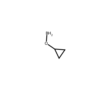 BOC1CC1